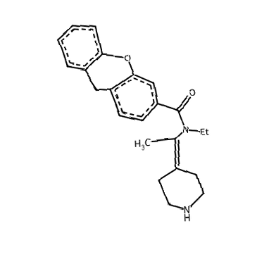 CCN(C(=O)c1ccc2c(c1)Oc1ccccc1C2)C(C)=C1CCNCC1